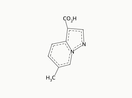 Cc1ccc2c(C(=O)O)cnn2c1